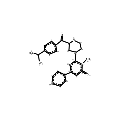 CC(C)c1ccc(C(=O)C2CN(c3nc(-c4ccncc4)cc(=O)n3C)CCO2)cc1